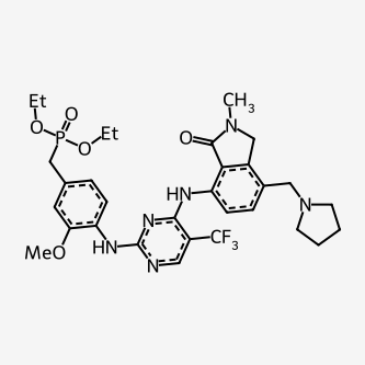 CCOP(=O)(Cc1ccc(Nc2ncc(C(F)(F)F)c(Nc3ccc(CN4CCCC4)c4c3C(=O)N(C)C4)n2)c(OC)c1)OCC